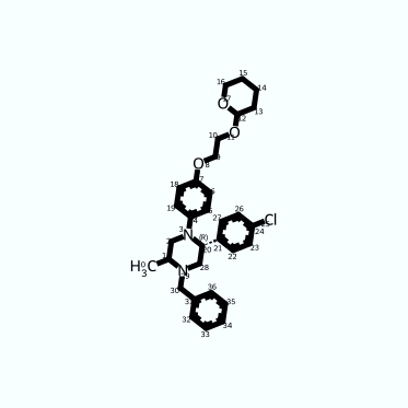 CC1CN(c2ccc(OCCOC3CCCCO3)cc2)[C@H](c2ccc(Cl)cc2)CN1Cc1ccccc1